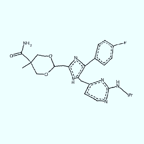 CC(C)Nc1nccc(-c2[nH]c(C3OCC(C)(C(N)=O)CO3)nc2-c2ccc(F)cc2)n1